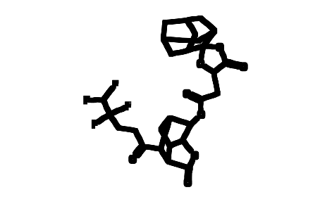 O=C(CC1OC2(OC1=O)C1CC3CC(C1)CC2C3)OC1C2CC3C1OC(=O)C3C2C(=O)CCC(F)(F)C(F)F